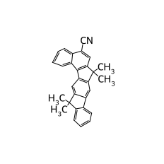 CC1(C)c2ccccc2-c2cc3c(cc21)-c1c(cc(C#N)c2ccccc12)C3(C)C